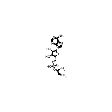 C=CC(N)OP(=O)(O)OC[C@H]1O[C@@H](n2cnc3c(N)ncnc32)[C@H](O)[C@@H]1O